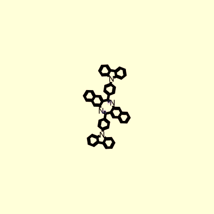 c1ccc2cc3c(cc2c1)/N=C(/c1ccc(-n2c4ccccc4c4ccccc42)cc1)c1cc2ccccc2cc1/N=C\3c1ccc(-n2c3ccccc3c3ccccc32)cc1